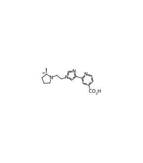 C[C@@H]1CCCN1CCn1cnc(-c2cc(C(=O)O)ccn2)c1